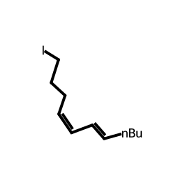 CCCC/C=C/C=C\CCCI